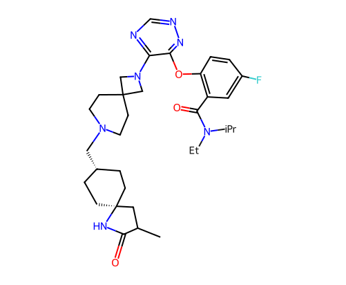 CCN(C(=O)c1cc(F)ccc1Oc1nncnc1N1CC2(CCN(C[C@H]3CC[C@]4(CC3)CC(C)C(=O)N4)CC2)C1)C(C)C